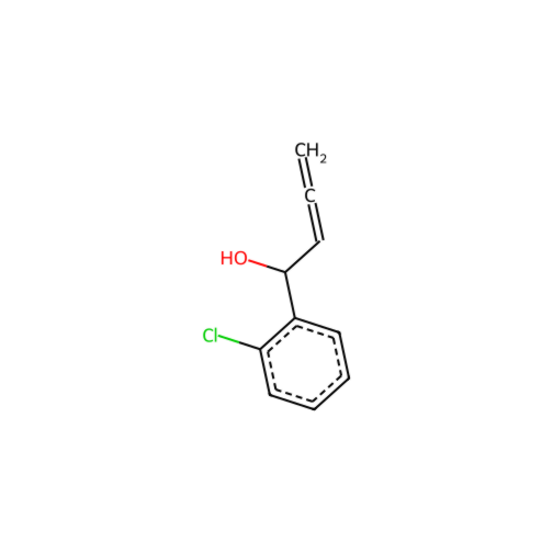 C=C=CC(O)c1ccccc1Cl